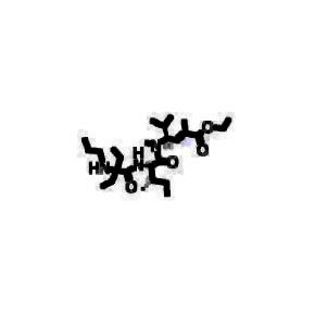 CCCNC(CC)(CC)C(=O)N[C@H](C(=O)N(C)[C@H](/C=C(\C)C(=O)OCC)C(C)C)[C@@H](C)CC